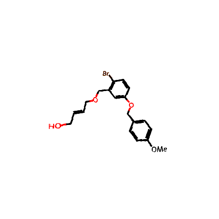 COc1ccc(COc2ccc(Br)c(COCC=CCO)c2)cc1